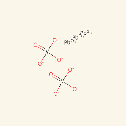 [O]=[V]([O-])([O-])[O-].[O]=[V]([O-])([O-])[O-].[Pb+2].[Pb+2].[Pb+2]